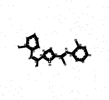 CC(=Nc1ccccc1C)c1ccc(C(C)=Nc2ccccc2C)o1